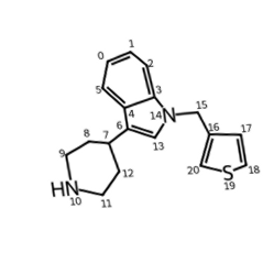 c1ccc2c(c1)c(C1CCNCC1)cn2Cc1ccsc1